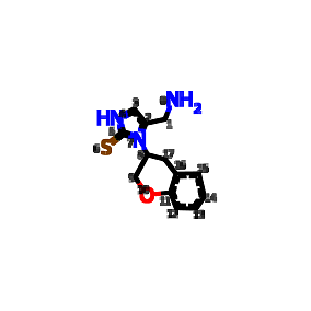 NCc1c[nH]c(=S)n1C1COc2ccccc2C1